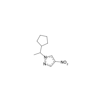 CC(C1CCCC1)n1cc([N+](=O)[O-])cn1